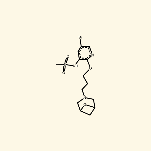 CS(=O)(=O)Nc1cc(Br)cnc1OCCCN1CC2CC(C1)O2